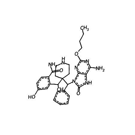 CCCCOc1nc(N)c2[nH]c(=O)n(C(c3ccccc3)C3(C(C)c4cc(O)ccc4C(N)=O)CCNCC3)c2n1